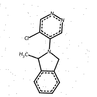 CC1c2ccccc2CN1c1cnncc1Cl